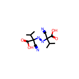 CC(C)C(C#N)(N=NC(C#N)(C(=O)O)C(C)C)C(=O)O